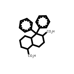 O=C(O)C1CCCC2C1CCC(C(=O)O)C2(c1ccccc1)c1ccccc1